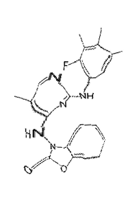 Cc1cnc(Nc2cc(C)c(C)c(C)c2F)nc1Nn1c(=O)oc2ccccc21